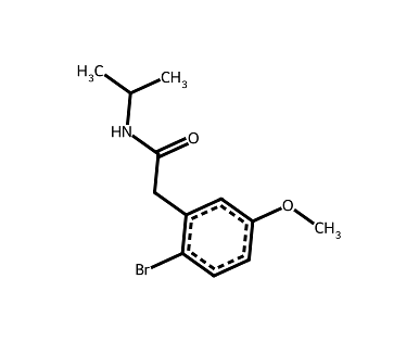 COc1ccc(Br)c(CC(=O)NC(C)C)c1